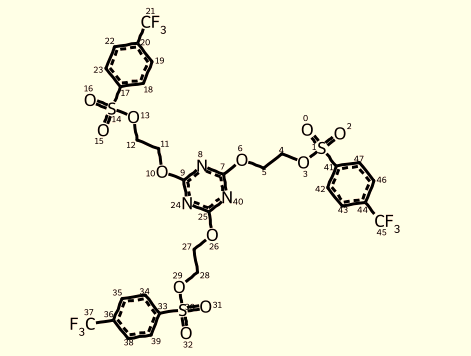 O=S(=O)(OCCOc1nc(OCCOS(=O)(=O)c2ccc(C(F)(F)F)cc2)nc(OCCOS(=O)(=O)c2ccc(C(F)(F)F)cc2)n1)c1ccc(C(F)(F)F)cc1